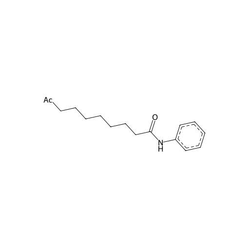 CC(=O)CCCCCCCC(=O)Nc1ccccc1